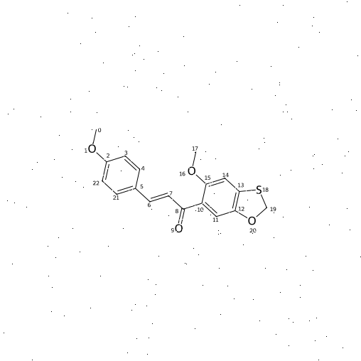 COc1ccc(/C=C/C(=O)c2cc3c(cc2OC)SCO3)cc1